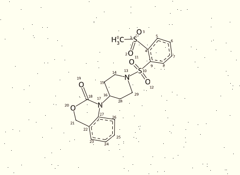 CS(=O)(=O)c1ccccc1S(=O)(=O)N1CCC(N2C(=O)OCc3ccccc32)CC1